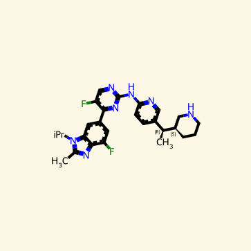 Cc1nc2c(F)cc(-c3nc(Nc4ccc([C@H](C)[C@@H]5CCCNC5)cn4)ncc3F)cc2n1C(C)C